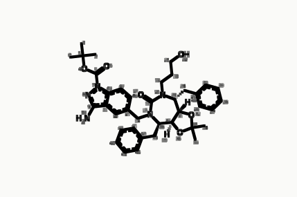 CC(C)(C)OC(=O)n1nc(N)c2cc(CN3C(=O)N(CCCO)[C@H](Cc4ccccc4)[C@@H]4OC(C)(C)O[C@H]4[C@H]3Cc3ccccc3)ccc21